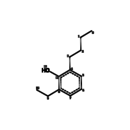 CCCCc1cccc(CC)c1O